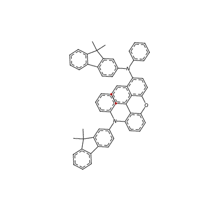 CC1(C)c2ccccc2-c2ccc(N(c3ccccc3)c3cccc4c3-c3cccc5c(N(c6ccccc6)c6ccc7c(c6)C(C)(C)c6ccccc6-7)ccc(c35)O4)cc21